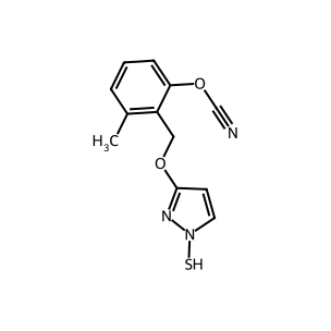 Cc1cccc(OC#N)c1COc1ccn(S)n1